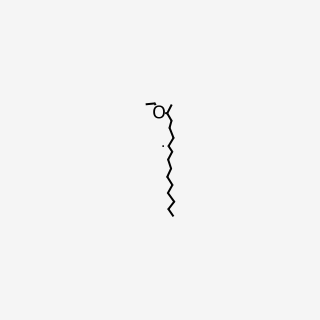 CCCCCCCCC[CH]CCCC(C)OCC